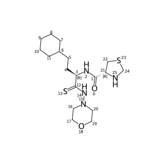 O=C(N[C@H](CCC1CCCCC1)C(=S)NN1CCOCC1)[C@@H]1CSCN1